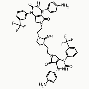 N=C1N(CCN2CC3=C(C2=O)[C@@H](c2ccc(N)cc2)NC(=O)N3c2cccc(C(F)(F)F)c2)CCN1CCN1CC2=C(C1=O)[C@@H](c1ccc(N)cc1)NC(=O)N2c1cccc(C(F)(F)F)c1